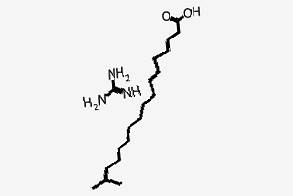 CC(C)CCCCCCCCCCCCCCC(=O)O.N=C(N)N